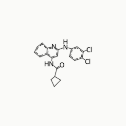 O=C(Nc1cc(Nc2ccc(Cl)c(Cl)c2)nc2ccccc12)C1CCC1